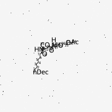 CCCCCCCCCCCCCCCCCC(=O)N[C@@H](CCC(=O)NCCOCCOCC(C)=O)C(=O)O